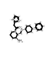 N[C@H]1CCCN(C(=O)Cc2nccs2)[C@H]1CO[C@H]1CC[C@@H](c2ccccc2)CC1